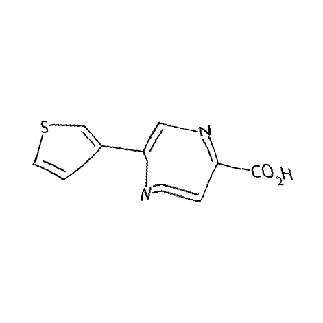 O=C(O)c1cnc(-c2ccsc2)cn1